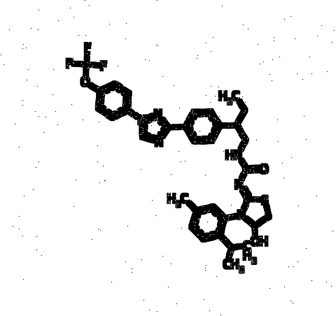 CCC(CNC(=O)/N=C1\SCC(O)N1c1cc(C)ccc1C(C)C)c1ccc(-c2ncn(-c3ccc(OC(F)(F)F)cc3)n2)cc1